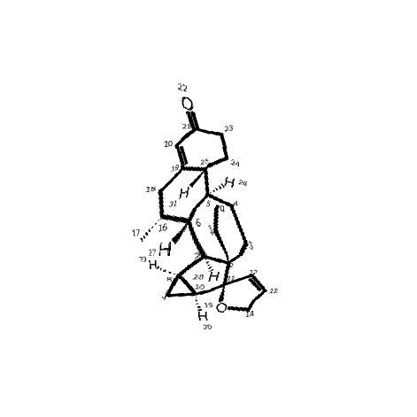 CC[C@]12CC[C@H]3[C@H]([C@@H]1[C@@H]1C[C@@H]1[C@@]21C=CCO1)[C@H](C)CC1=CC(=O)CC[C@@H]13